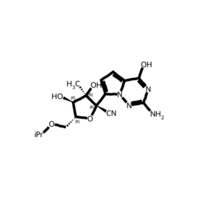 CC(C)OC[C@H]1O[C@@](C#N)(c2ccc3c(O)nc(N)nn23)[C@](C)(O)[C@@H]1O